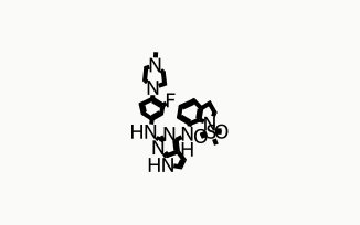 CN1CCN(c2ccc(Nc3nc(Nc4cccc5c4N(S(C)(=O)=O)CC5)c4cc[nH]c4n3)cc2F)CC1